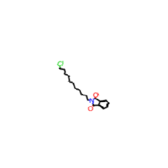 O=C1c2ccccc2C(=O)N1CCCCCCCCCCCCl